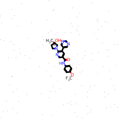 C[C@]1(O)CCN(c2ncc(C(=O)Nc3ccc(OC(F)(F)F)cc3)cc2-c2cncnc2)C1